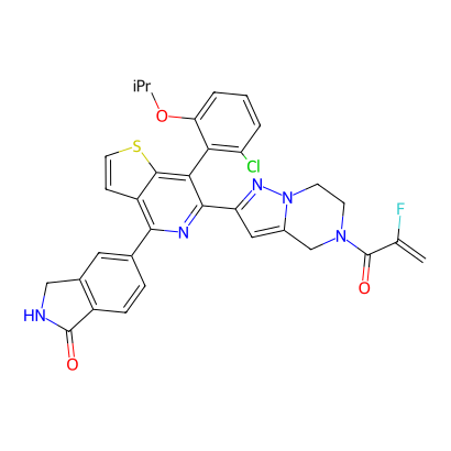 C=C(F)C(=O)N1CCn2nc(-c3nc(-c4ccc5c(c4)CNC5=O)c4ccsc4c3-c3c(Cl)cccc3OC(C)C)cc2C1